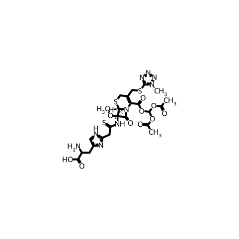 CO[C@@]1(NC(=S)Cc2nc(CC(N)C(=O)O)c[nH]2)C(=O)N2C(C(=O)OC(OC(C)=O)OC(C)=O)=C(CSc3nnnn3C)CS[C@H]21